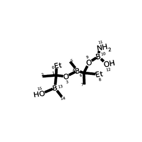 CCC(C)(OB(C)C(C)(CC)OB(N)O)B(C)O